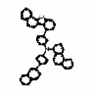 c1cc(-c2cccc3oc4c5ccccc5ccc4c23)cc(N(c2ccc(-c3ccc4ccccc4c3)cc2)c2cccc3c2ccc2ccccc23)c1